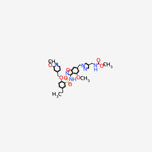 CCc1ccc(OCc2ccnc(OC)c2)c(S(=O)(=O)Nc2noc3cc(Cn4cc(CNC(=O)OC)cn4)cc(OC)c23)c1